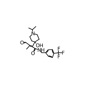 C/C(C=O)=C(\C(=O)NCc1ccc(C(F)(F)F)cc1)C1(O)CCN(C(C)C)CC1